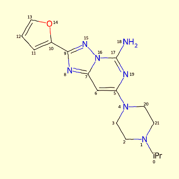 CC(C)N1CCN(c2cc3nc(-c4ccco4)nn3c(N)n2)CC1